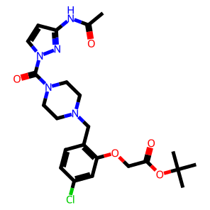 CC(=O)Nc1ccn(C(=O)N2CCN(Cc3ccc(Cl)cc3OCC(=O)OC(C)(C)C)CC2)n1